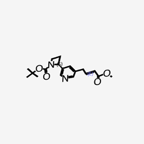 COC(=O)/C=C/Cc1cncc([C@@H]2CCN2C(=O)OC(C)(C)C)c1